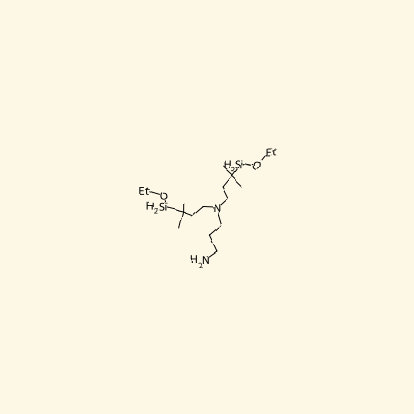 CCO[SiH2]C(C)(C)CCN(CCCN)CCC(C)(C)[SiH2]OCC